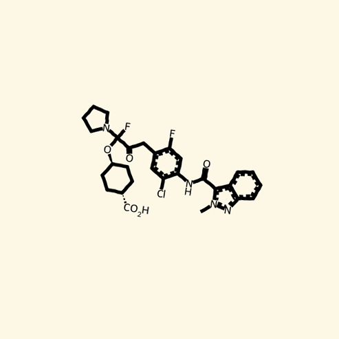 Cn1nc2ccccc2c1C(=O)Nc1cc(F)c(CC(=O)C(F)(O[C@H]2CC[C@H](C(=O)O)CC2)N2CCCC2)cc1Cl